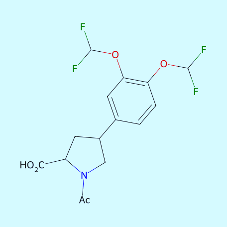 CC(=O)N1CC(c2ccc(OC(F)F)c(OC(F)F)c2)CC1C(=O)O